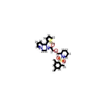 Cc1cc(C)c(S(=O)(=O)N2CCCCC2COCC(=O)N2CCn3cccc3C2c2cccs2)c(C)c1